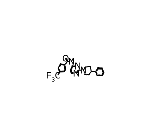 CN(C(=O)c1ccc(C(F)(F)F)cc1)c1ccnc(N2CCC(c3ccccc3)CC2)n1